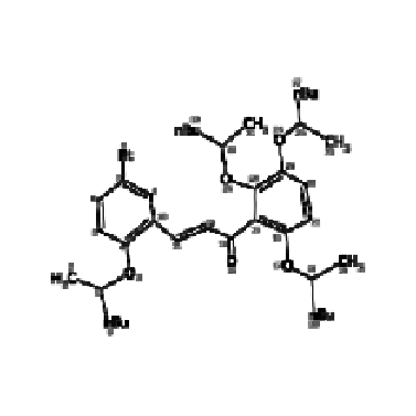 CCCCC(C)Oc1ccc(CC)cc1C=CC(=O)c1c(OC(C)CCCC)ccc(OC(C)CCCC)c1OC(C)CCCC